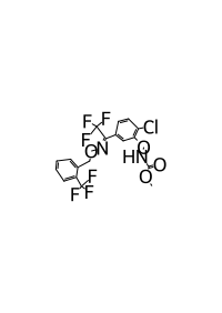 COC(=O)NOc1cc(C(=NOCc2ccccc2C(F)(F)F)C(F)(F)F)ccc1Cl